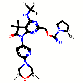 [2H]C([2H])([2H])Nc1nc(COC(=N)N2CCC[C@@H]2C(F)(F)F)nc2c1C(C)(C)C(=O)N2c1ccc(N2C[C@@H](C)O[C@@H](C)C2)nc1